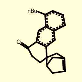 CCCCc1cccc2cc3c(cc12)C(=O)CCC31CC2=CCC1C2